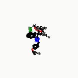 CCC[C@@H](C(=O)OC(C)(C)C)[C@@H](Cc1ccccc1Br)c1nnn(Cc2ccc(OC)cc2)n1